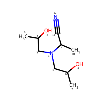 CC(O)CN(CC(C)O)C(C)C#N